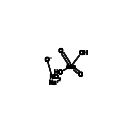 O=[N+]([O-])[O-].[Na+].[O]=[Mo](=[O])([OH])[OH]